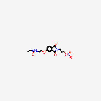 CCC(=O)NCCOc1ccc2c(c1)C(=O)N(CCCO[N+](=O)[O-])C2=O